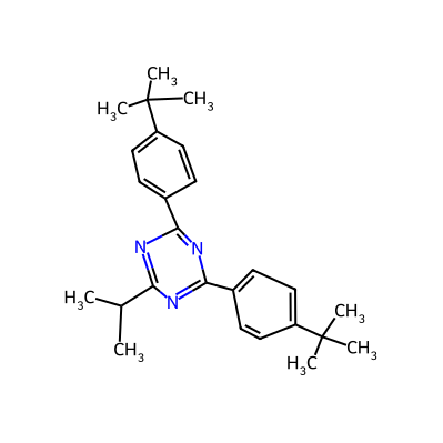 CC(C)c1nc(-c2ccc(C(C)(C)C)cc2)nc(-c2ccc(C(C)(C)C)cc2)n1